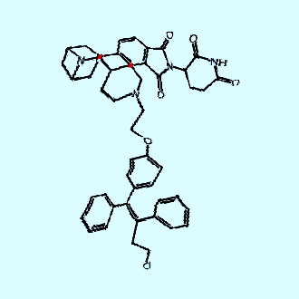 O=C1CCC(N2C(=O)c3ccc(N4CC5CC(C4)N5CC4CCN(CCOc5ccc(C(=C(CCCl)c6ccccc6)c6ccccc6)cc5)CC4)cc3C2=O)C(=O)N1